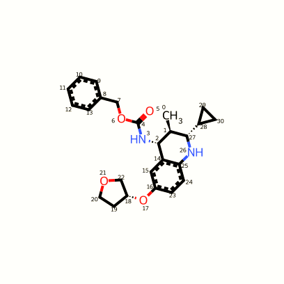 C[C@@H]1[C@@H](NC(=O)OCc2ccccc2)c2cc(O[C@@H]3CCOC3)ccc2N[C@H]1C1CC1